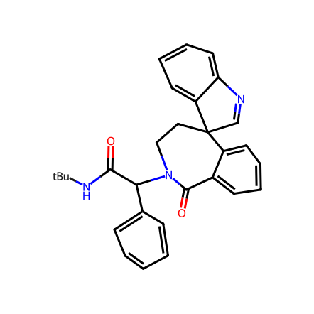 CC(C)(C)NC(=O)C(c1ccccc1)N1CCC2(C=Nc3ccccc32)c2ccccc2C1=O